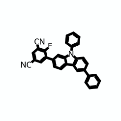 N#Cc1cc(C#N)c(F)c(-c2ccc3c4cc(-c5ccccc5)ccc4n(-c4ccccc4)c3c2)c1